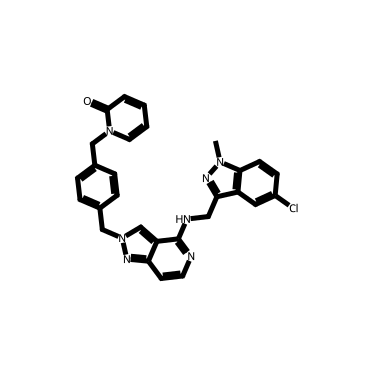 Cn1nc(CNc2nccc3nn(Cc4ccc(Cn5ccccc5=O)cc4)cc23)c2cc(Cl)ccc21